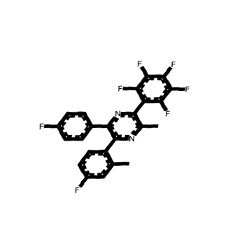 Cc1cc(F)ccc1-c1nc(C)c(-c2c(F)c(F)c(F)c(F)c2F)nc1-c1ccc(F)cc1